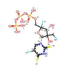 O=P(O)(O)OP(=O)(O)OP(=O)(O)OC[C@@]1(F)O[C@@H](n2cc(F)c(=S)[nH]c2=S)C(O)(CF)[C@H]1O